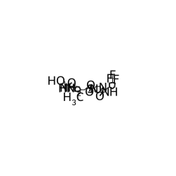 Cc1cc(NC(=O)[C@@H](N)CO)ccc1CCS(=O)(=O)N1CCC2(CC1)N=C(c1cccc(C(F)(F)F)c1)NC2=O